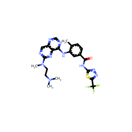 Cc1ccc(C(=O)Nc2nnc(C(F)(F)F)s2)cc1Nc1ncnc2cnc(N(C)CCN(C)C)nc12